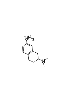 CN(C)C1CCc2ccc(N)cc2C1